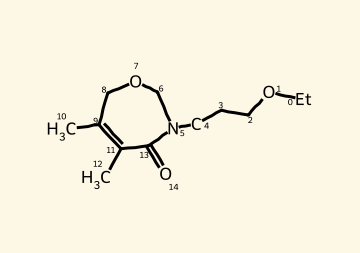 CCOCCCN1COCC(C)=C(C)C1=O